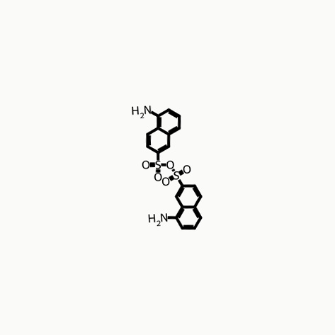 Nc1cccc2cc(S(=O)(=O)OS(=O)(=O)c3ccc4cccc(N)c4c3)ccc12